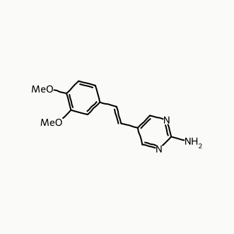 COc1ccc(C=Cc2cnc(N)nc2)cc1OC